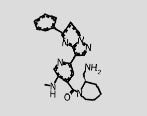 CNc1cnc(-c2cnn3ccc(-c4ccccc4)nc23)cc1C(=O)N1CCCC[C@@H]1CN